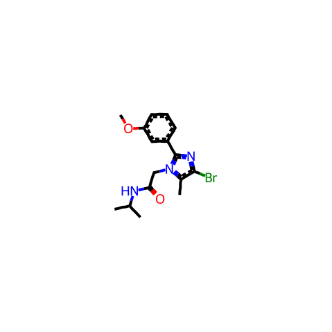 COc1cccc(-c2nc(Br)c(C)n2CC(=O)NC(C)C)c1